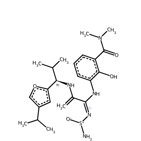 C=C(N[C@@H](c1cc(C(C)C)co1)C(C)C)/C(=N\[S+](N)[O-])Nc1cccc(C(=O)N(C)C)c1O